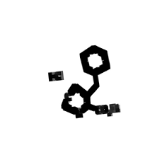 CCOC(=O)c1ncccc1Cc1ccccc1.Cl